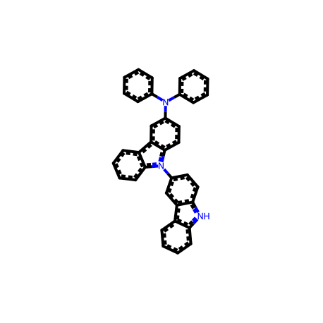 c1ccc(N(c2ccccc2)c2ccc3c(c2)c2ccccc2n3-c2ccc3[nH]c4ccccc4c3c2)cc1